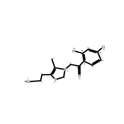 CC1=C(CCO)SCN1CC(=O)c1ccc(Cl)cc1Cl